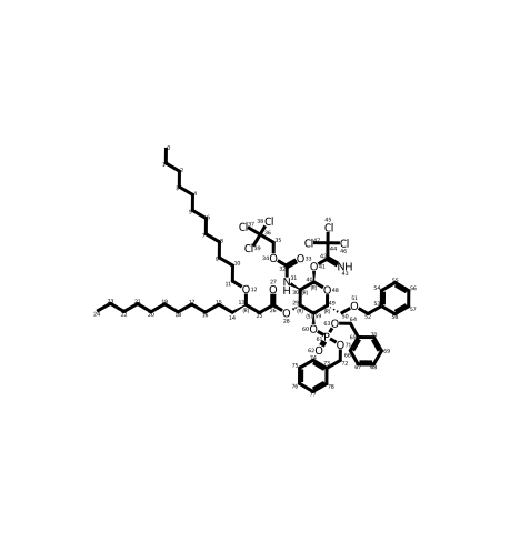 CCCCCCCCCCCCO[C@H](CCCCCCCCCCC)CC(=O)O[C@@H]1[C@@H](NC(=O)OCC(Cl)(Cl)Cl)[C@@H](OC(=N)C(Cl)(Cl)Cl)O[C@H](COCc2ccccc2)[C@H]1OP(=O)(OCc1ccccc1)OCc1ccccc1